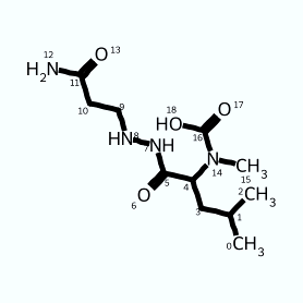 CC(C)CC(C(=O)NNCCC(N)=O)N(C)C(=O)O